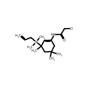 C=CC[N+](C)(C)C1(C)C=C(NC(=O)CCl)CC(C)(C)C1